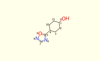 OC1CCC(c2n[c]no2)CC1